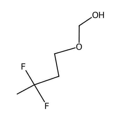 CC(F)(F)CCOCO